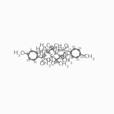 Cc1ccc(S(=O)(=O)O[Si](C(C)(C)C)(C(C)(C)C)[Si](OS(=O)(=O)c2ccc(C)cc2)(C(C)(C)C)C(C)(C)C)cc1